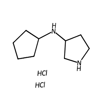 C1CCC(NC2CCNC2)C1.Cl.Cl